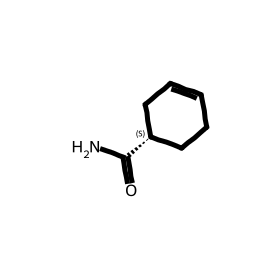 NC(=O)[C@@H]1CC=CCC1